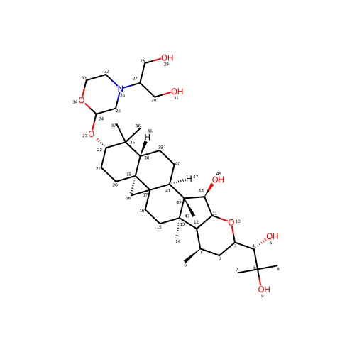 C[C@@H]1CC([C@H](O)C(C)(C)O)OC2C1[C@@]1(C)CCC34C[C@@]35CC[C@H](OC3CN(C(CO)CO)CCO3)C(C)(C)[C@@H]5CC[C@H]4[C@]1(C)[C@H]2O